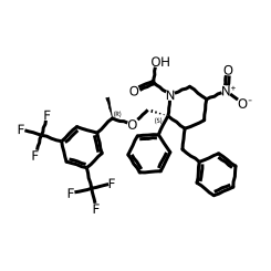 C[C@@H](OC[C@@]1(c2ccccc2)C(Cc2ccccc2)CC([N+](=O)[O-])CN1C(=O)O)c1cc(C(F)(F)F)cc(C(F)(F)F)c1